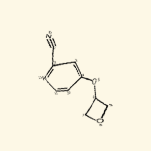 N#Cc1cc(OC2COC2)ccn1